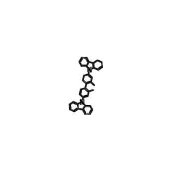 CC1=C(c2ccc(-n3c4ccccc4c4ccccc43)cc2C)CCC(n2c3c(c4ccccc42)CCC=C3)=C1